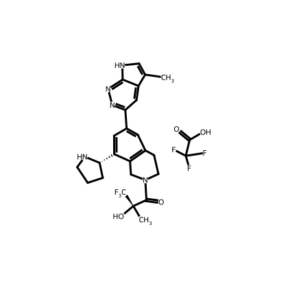 Cc1c[nH]c2nnc(-c3cc4c(c([C@@H]5CCCN5)c3)CN(C(=O)[C@](C)(O)C(F)(F)F)CC4)cc12.O=C(O)C(F)(F)F